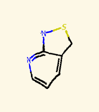 c1cnc2c(c1)CS[N]2